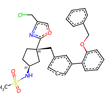 CS(=O)(=O)N[C@H]1CC[C@](Cc2cccc(-c3ccccc3OCc3ccccc3)c2)(c2nc(CCl)co2)C1